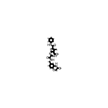 Cc1c(C(=O)Nc2ccccc2)sc2nc(C(=O)NCc3ccc4c(c3)NC(=O)CO4)[nH]c(=O)c12